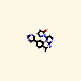 C[C@H](Nc1nccc(N2CCCC2=O)n1)c1ccc(-c2cncnc2)cc1